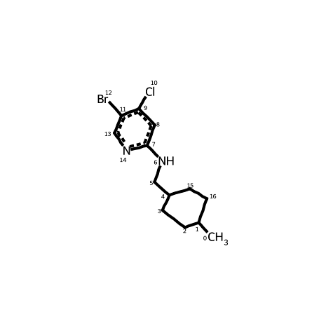 CC1CCC(CNc2cc(Cl)c(Br)cn2)CC1